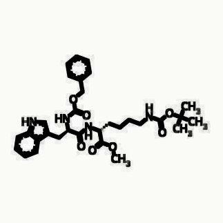 COC(=O)[C@@H](CCCCNC(=O)OC(C)(C)C)NC(=O)[C@@H](Cc1c[nH]c2ccccc12)NC(=O)OCc1ccccc1